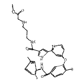 COC(=O)CNCCCNC(=O)c1c[nH]c(-c2cc(Oc3cc(C(=O)Nc4cc(C)ccc4F)ccc3F)ccn2)c1